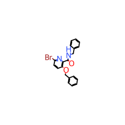 O=C(NCc1ccccc1)c1nc(Br)ccc1OCc1ccccc1